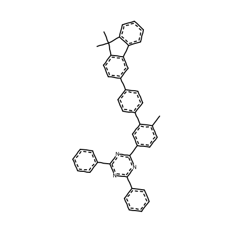 Cc1ccc(-c2nc(-c3ccccc3)nc(-c3ccccc3)n2)cc1-c1ccc(-c2ccc3c(c2)-c2ccccc2C3(C)C)cc1